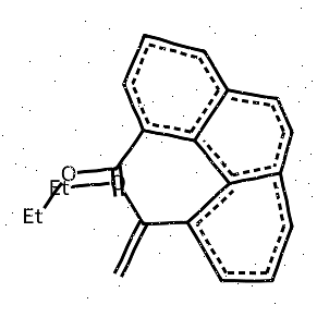 C=C(OCC)c1cccc2ccc3cccc(C(=C)OCC)c3c12